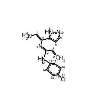 C=C/C(=N\C(=C/N)c1ccn[nH]1)Nc1ccc(Cl)cc1